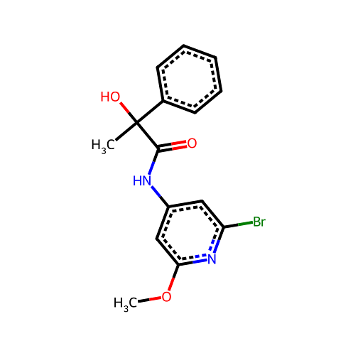 COc1cc(NC(=O)C(C)(O)c2ccccc2)cc(Br)n1